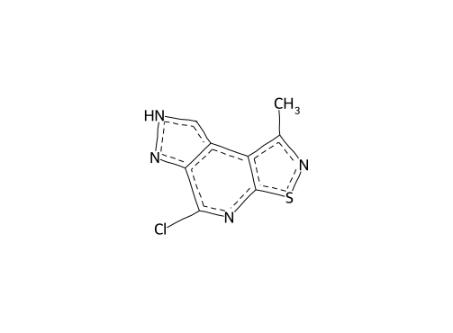 Cc1nsc2nc(Cl)c3n[nH]cc3c12